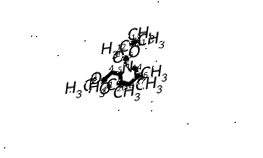 COC(=O)CC1N(C(=O)OC(C)(C)C)CC(C)(C)CC1(C)C